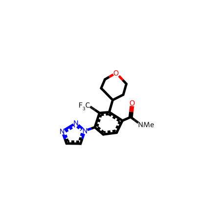 CNC(=O)c1ccc(-n2ccnn2)c(C(F)(F)F)c1C1CCOCC1